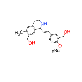 CCCCOc1ccc(/C=C/C2NCCc3cc(C)c(CO)cc32)cc1CO